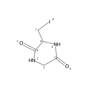 O=C1CNC(=O)C(CI)N1